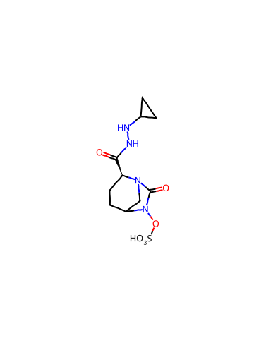 O=C(NNC1CC1)[C@@H]1CCC2CN1C(=O)N2OS(=O)(=O)O